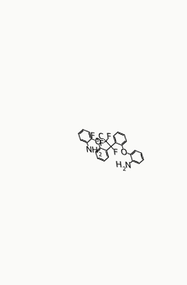 Nc1ccccc1Oc1ccccc1C(F)(c1ccccc1Oc1ccccc1N)C(F)(F)C(F)(F)F